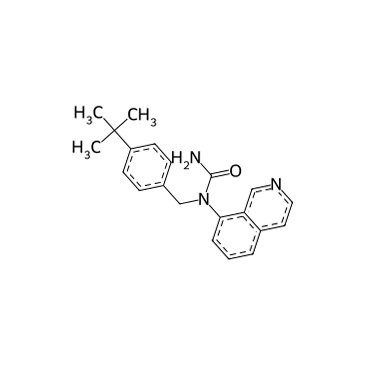 CC(C)(C)c1ccc(CN(C(N)=O)c2cccc3ccncc23)cc1